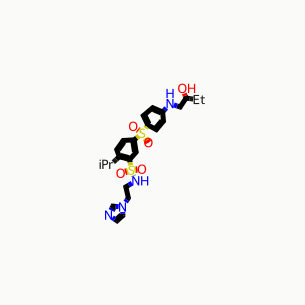 CCC(O)CNc1ccc(S(=O)(=O)c2ccc(C(C)C)c(S(=O)(=O)NCCn3ccnc3)c2)cc1